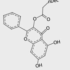 CCCCCCCCCCCC(=O)Oc1c(-c2ccccc2)oc2cc(O)cc(O)c2c1=O